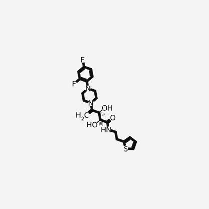 C=C([C@H](O)[C@@H](O)C(=O)NCCc1cccs1)N1CCN(c2ccc(F)cc2F)CC1